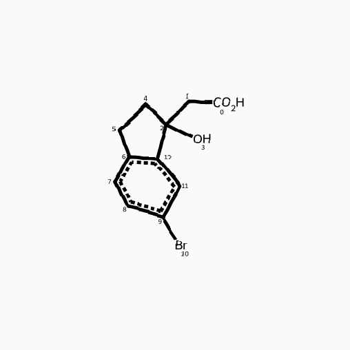 O=C(O)CC1(O)CCc2ccc(Br)cc21